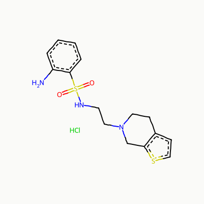 Cl.Nc1ccccc1S(=O)(=O)NCCN1CCc2ccsc2C1